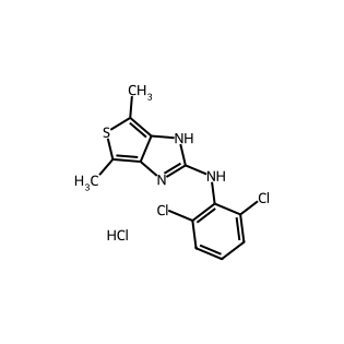 Cc1sc(C)c2[nH]c(Nc3c(Cl)cccc3Cl)nc12.Cl